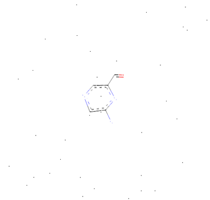 Nc1cncc(C=O)n1